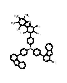 Bc1c(B)c(B)c2c(oc3c(B)c(B)c(-c4ccc(N(c5ccc(-c6cccc7sc8ccccc8c67)cc5)c5ccc(-c6ccc(B)c7sc8ccccc8c67)cc5)cc4)c(B)c32)c1B